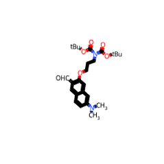 CN(C)c1ccc2cc(C=O)c(OCCCN(C(=O)OC(C)(C)C)C(=O)OC(C)(C)C)cc2c1